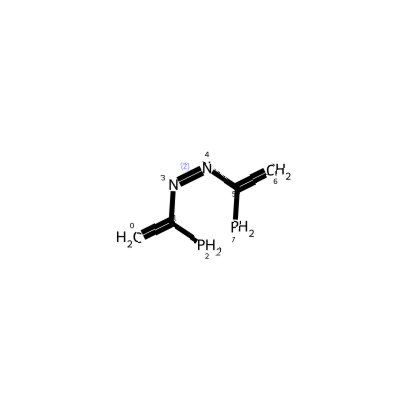 C=C(P)/N=N\C(=C)P